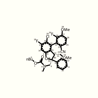 CCCCOC(=O)N(C)C[C@]1(c2ccccc2)Oc2cc(F)c(Cl)c(-c3c(C#N)ccc(OC)c3F)c2[C@@H]1COC